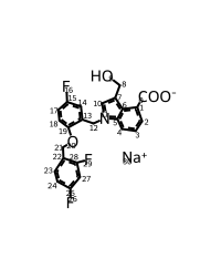 O=C([O-])c1cccc2c1c(CO)cn2Cc1cc(F)ccc1OCc1ccc(F)cc1F.[Na+]